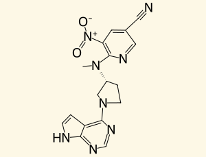 CN(c1ncc(C#N)cc1[N+](=O)[O-])[C@@H]1CCN(c2ncnc3[nH]ccc23)C1